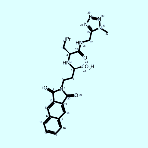 CC(C)C[C@H](N[C@H](CCN1C(=O)c2cc3ccccc3cc2C1=O)C(=O)O)C(=O)NCc1nnnn1C